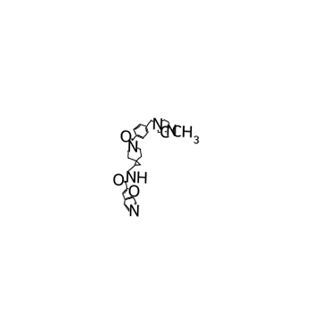 CN1CCN(Cc2ccc(C(=O)N3CCC4(CC3)CC4CNC(=O)c3cc4ccncc4o3)cc2)CC1